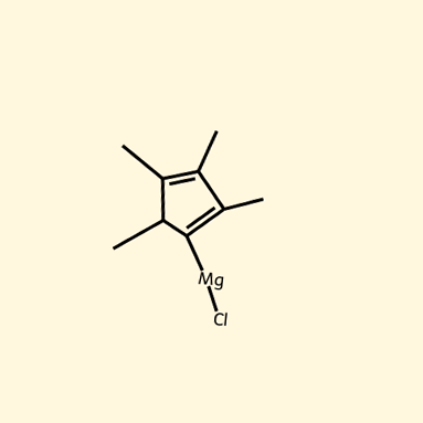 CC1=C(C)C(C)[C]([Mg][Cl])=C1C